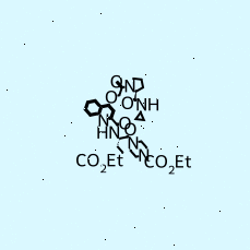 CCOC(=O)CC[C@H](NC(=O)c1cc(OCC(=O)N2CCC[C@H]2C(=O)NC2CC2)c2ccccc2n1)C(=O)N1CCN(C(=O)OCC)CC1